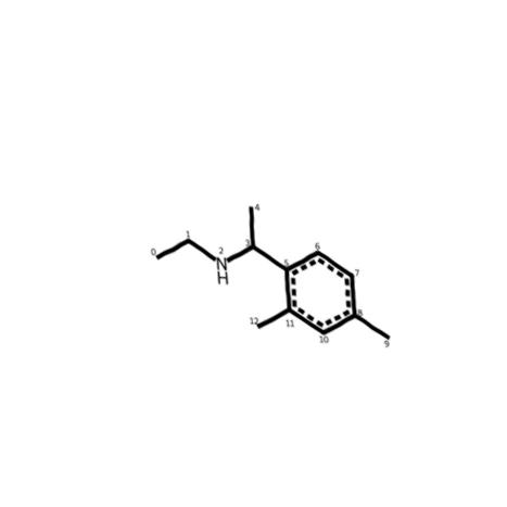 CCNC(C)c1ccc(C)cc1C